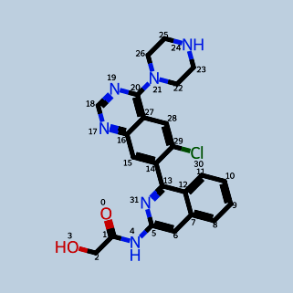 O=C(CO)Nc1cc2ccccc2c(-c2cc3ncnc(N4CCNCC4)c3cc2Cl)n1